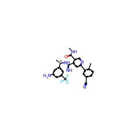 CNC(=O)c1cnc(-c2cc(C#N)ccc2C)cc1C(=N)N[C@H](C)c1cc(N)cc(C(F)(F)F)c1